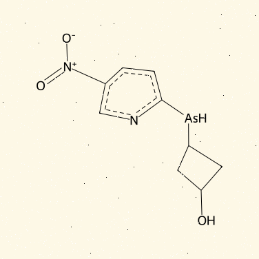 O=[N+]([O-])c1ccc([AsH]C2CC(O)C2)nc1